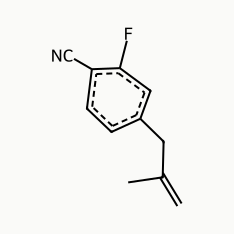 C=C(C)Cc1ccc(C#N)c(F)c1